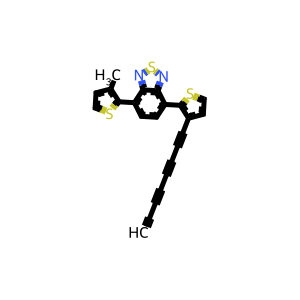 C#CC#CC#CC#Cc1ccsc1-c1ccc(-c2sccc2C)c2nsnc12